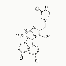 CC(C)C1=C(CN2CCNC(=O)C2)SC2=NC(C)(c3ccc(Cl)cc3)C(c3ccc(Cl)cc3)N21